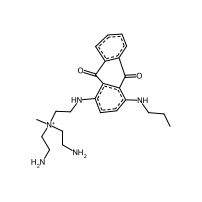 CCCNc1ccc(NCC[N+](C)(CCN)CCN)c2c1C(=O)c1ccccc1C2=O